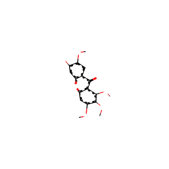 COc1cc2c(=O)c3c(OC)c(OC)c(OC)cc3oc2cc1O